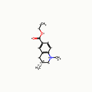 CCOC(=O)c1ccc2c(c1)C[C@@H](C)CN2C